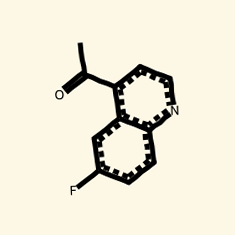 CC(=O)c1ccnc2ccc(F)cc12